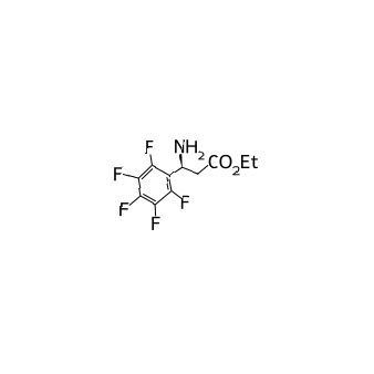 CCOC(=O)C[C@H](N)c1c(F)c(F)c(F)c(F)c1F